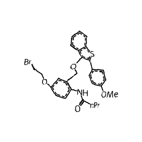 CCCC(=O)Nc1ccc(OCCBr)cc1COc1c(-c2ccc(OC)cc2)sc2ccccc12